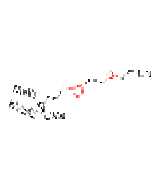 CO[Si](CCCOCCOCCC#N)(OC)OC